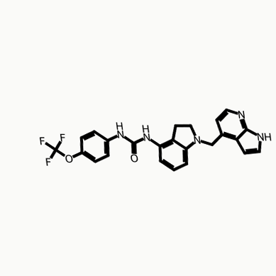 O=C(Nc1ccc(OC(F)(F)F)cc1)Nc1cccc2c1CCN2Cc1ccnc2[nH]ccc12